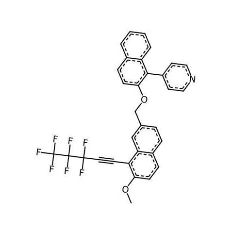 COc1ccc2ccc(COc3ccc4ccccc4c3-c3ccncc3)cc2c1C#CC(F)(F)C(F)(F)C(F)(F)F